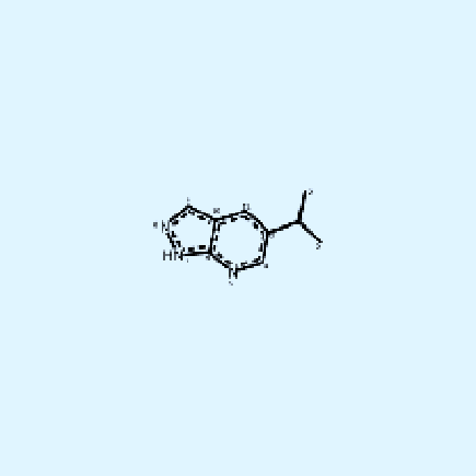 CC(C)c1cnc2[nH]ncc2c1